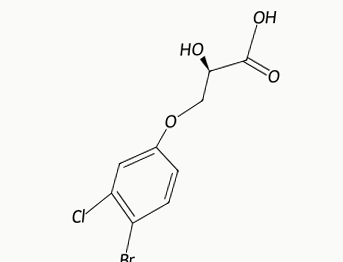 O=C(O)[C@H](O)COc1ccc(Br)c(Cl)c1